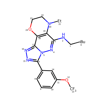 CCC(C)CNc1nn2c(-c3cccc(OC(F)(F)F)c3)nnc2c2c1N(CC)CCO2